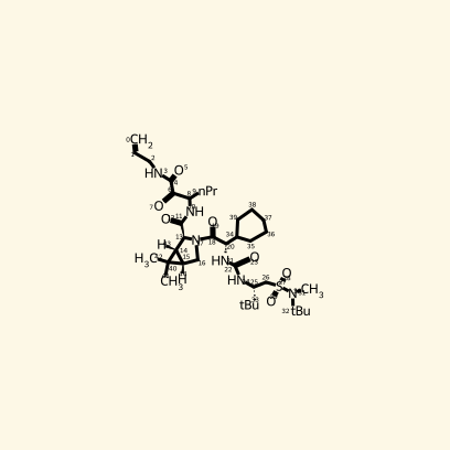 C=CCNC(=O)C(=O)C(CCC)NC(=O)[C@@H]1[C@@H]2[C@H](CN1C(=O)[C@@H](NC(=O)N[C@H](CS(=O)(=O)N(C)C(C)(C)C)C(C)(C)C)C1CCCCC1)C2(C)C